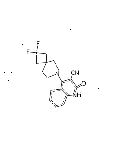 N#Cc1c(N2CCC3(CC2)CC(F)(F)C3)c2ccccc2[nH]c1=O